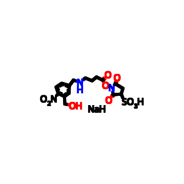 O=C(CCCNCc1ccc([N+](=O)[O-])c(CO)c1)ON1C(=O)CC(S(=O)(=O)O)C1=O.[NaH]